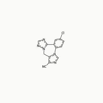 N#Cc1ncn2c1Cn1ncnc1-c1cc(Cl)ccc1-2